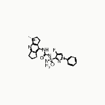 C[C@@H]1CCc2c1nc1c(c2NC(=O)N=S(N)(=O)c2nn(-c3ccccc3)cc2F)CCC1